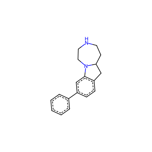 c1ccc(-c2ccc3c(c2)N2CCNCCC2C3)cc1